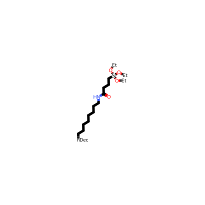 CCCCCCCCCCCCCCCCCCNC(=O)CCC[Si](OCC)(OCC)OCC